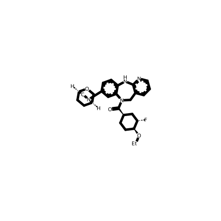 CCO[C@H]1CC[C@@H](C(=O)N2Cc3cccnc3Nc3ccc(N4C[C@H]5CC[C@@H]4CO5)cc32)C[C@@H]1F